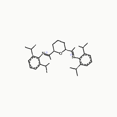 C/C(=N\c1c(C(C)C)cccc1C(C)C)C1CCCC(/C(C)=N/c2c(C(C)C)cccc2C(C)C)O1